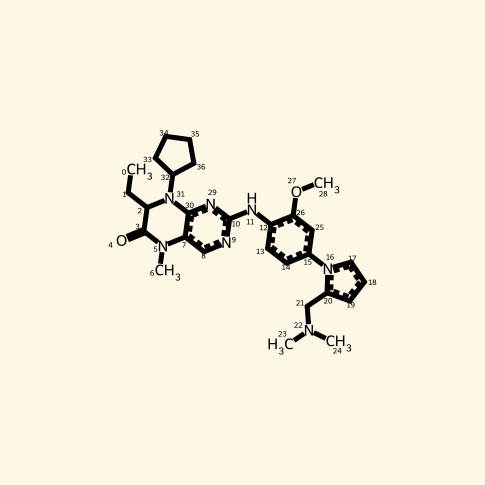 CCC1C(=O)N(C)c2cnc(Nc3ccc(-n4cccc4CN(C)C)cc3OC)nc2N1C1CCCC1